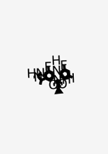 CC1c2cc(NS(=O)(=O)C3CC3)c(Nc3ccc(I)cc3F)c(F)c2NN1C